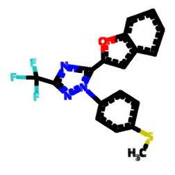 CSc1ccc(-n2nc(C(F)(F)F)nc2-c2cc3ccccc3o2)cc1